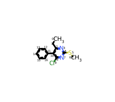 CCc1nc(SC)nc(Cl)c1-c1ccccc1